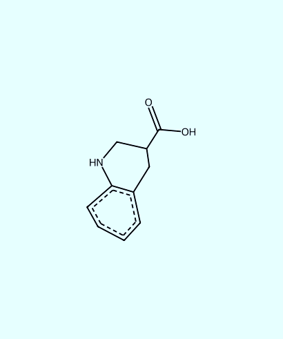 O=C(O)C1CNc2ccccc2C1